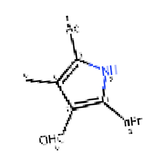 CCCc1[nH]c(C(C)=O)c(C)c1C=O